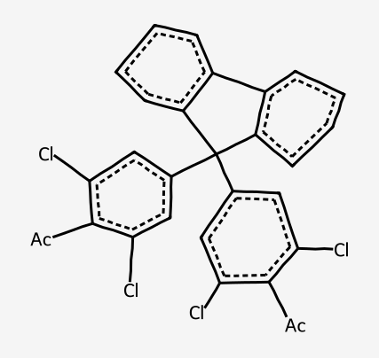 CC(=O)c1c(Cl)cc(C2(c3cc(Cl)c(C(C)=O)c(Cl)c3)c3ccccc3-c3ccccc32)cc1Cl